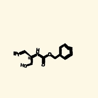 CC(C)C[C@H](CO)NC(=O)OCc1ccccc1